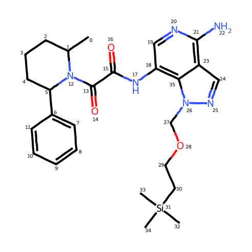 CC1CCCC(c2ccccc2)N1C(=O)C(=O)Nc1cnc(N)c2cnn(COCC[Si](C)(C)C)c12